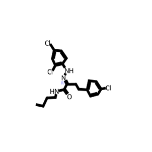 CCCCNC(=O)/C(CCc1ccc(Cl)cc1)=N/Nc1ccc(Cl)cc1Cl